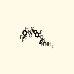 CC1Cc2c(ccc(Oc3ccnc(N)n3)c2F)N1C(=O)Nc1cccc(C(F)(F)F)c1